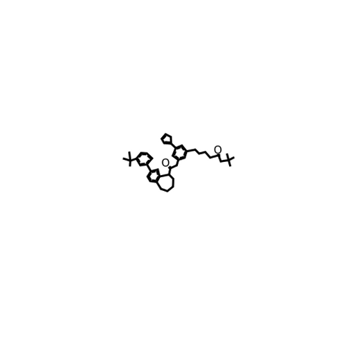 CC(C)(C)CC(=O)CCCCc1cc(CC(=O)C2CCCCc3ccc(-c4cccc(C(C)(C)C)c4)cc32)cc(C2=CC=CC2)c1